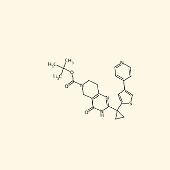 CC(C)(C)OC(=O)N1CCc2nc(C3(c4cc(-c5ccncc5)cs4)CC3)[nH]c(=O)c2C1